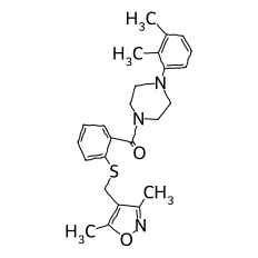 Cc1cccc(N2CCN(C(=O)c3ccccc3SCc3c(C)noc3C)CC2)c1C